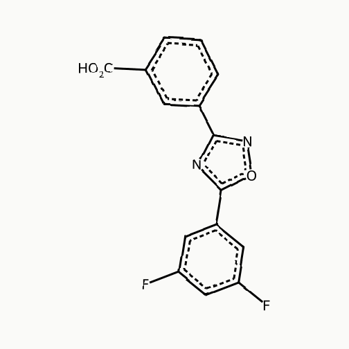 O=C(O)c1cccc(-c2noc(-c3cc(F)cc(F)c3)n2)c1